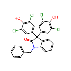 O=C1N(Cc2ccccc2)c2ccccc2C1(c1cc(Cl)c(O)c(Cl)c1)c1cc(Cl)c(O)c(Cl)c1